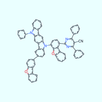 N#Cc1c(-c2ccccc2)nc(-c2ccc(-n3c4ccc(-c5ccc6oc7ccccc7c6c5)cc4c4cc5c(cc43)c3ccccc3n5-c3ccccc3)c3oc4ccccc4c23)nc1-c1ccccc1